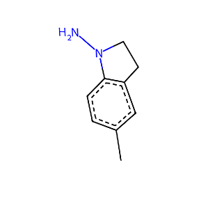 Cc1ccc2c(c1)CCN2N